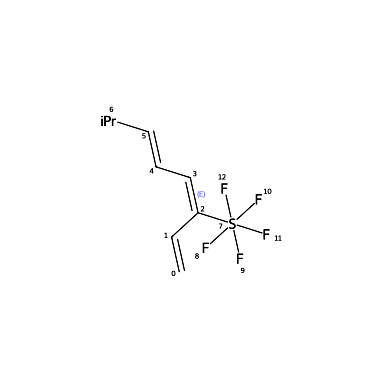 C=C/C(=C\C=CC(C)C)S(F)(F)(F)(F)F